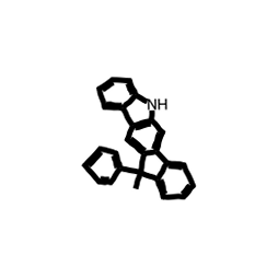 CC1(c2ccccc2)c2ccccc2-c2cc3[nH]c4ccccc4c3cc21